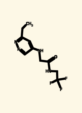 CCc1cc(NCC(=O)NCC(F)(F)F)cnn1